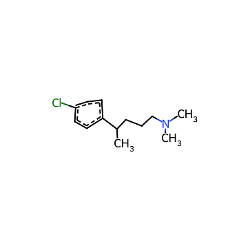 CC(CCCN(C)C)c1ccc(Cl)cc1